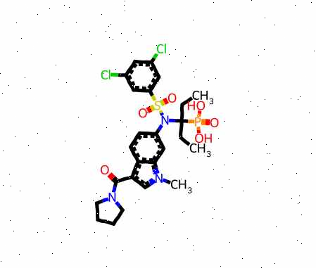 CCC(CC)(N(c1ccc2c(C(=O)N3CCCC3)cn(C)c2c1)S(=O)(=O)c1cc(Cl)cc(Cl)c1)P(=O)(O)O